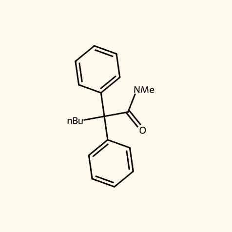 CCCCC(C(=O)NC)(c1ccccc1)c1ccccc1